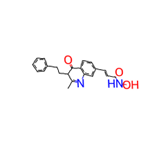 CC1=Nc2cc(C=CC(=O)NO)ccc2C(=O)C1CCc1ccccc1